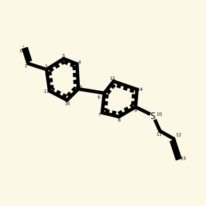 [CH]=Cc1ccc(-c2ccc(SCC=C)cc2)cc1